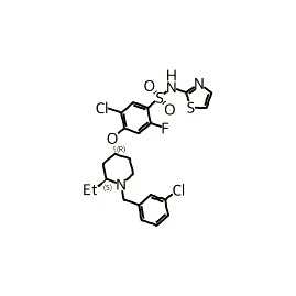 CC[C@H]1C[C@H](Oc2cc(F)c(S(=O)(=O)Nc3nccs3)cc2Cl)CCN1Cc1cccc(Cl)c1